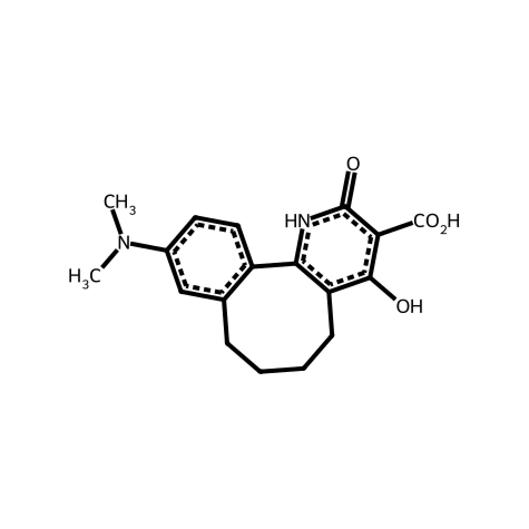 CN(C)c1ccc2c(c1)CCCCc1c-2[nH]c(=O)c(C(=O)O)c1O